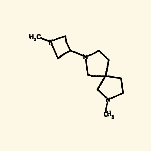 CN1CC(N2CCC3(CCN(C)C3)C2)C1